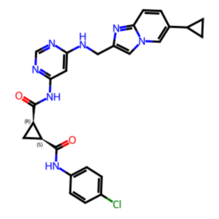 O=C(Nc1ccc(Cl)cc1)[C@H]1C[C@H]1C(=O)Nc1cc(NCc2cn3cc(C4CC4)ccc3n2)ncn1